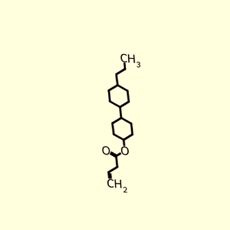 C=CCC(=O)OC1CCC(C2CCC(CCC)CC2)CC1